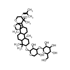 CC(C)=C[C@H]1CO[C@]23C[C@]4(CO2)C(CCC2[C@@]5(C)CC[C@H](O[C@@H]6OC[C@H](O)C(O[C@@H]7OC(CO)[C@@H](O)C(O)[C@@H]7O)[C@@H]6O)C(C)(C)C5CC[C@]24C)C3C1(C)O